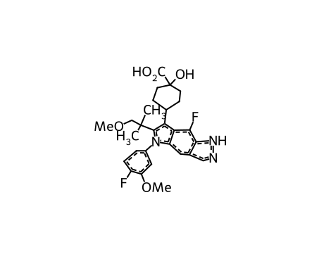 COCC(C)(C)c1c(C2CCC(O)(C(=O)O)CC2)c2c(F)c3[nH]ncc3cc2n1-c1ccc(F)c(OC)c1